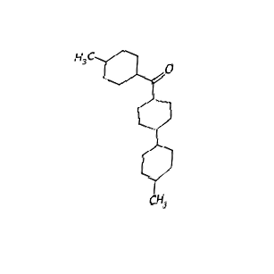 CC1CCC(C(=O)C2CCC(C3CCC(C)CC3)CC2)CC1